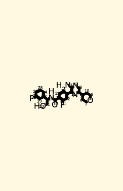 Nc1ncc(C2CCOCC2)nc1-c1ccc(C(=O)NC(CO)c2cccc(F)c2)c(F)c1